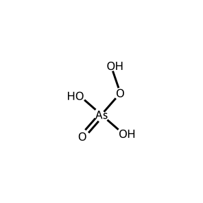 O=[As](O)(O)OO